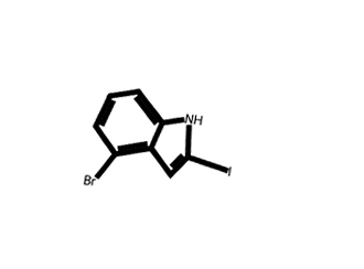 Brc1cccc2[nH]c(I)cc12